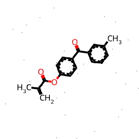 C=C(C)C(=O)Oc1ccc(C(=O)c2cccc(C)c2)cc1